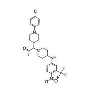 CC(=O)C(C1CCN(c2ccc(Cl)cc2)CC1)N1CCC(Nc2ccc([N+](=O)[O-])c(C(F)(F)F)c2)CC1